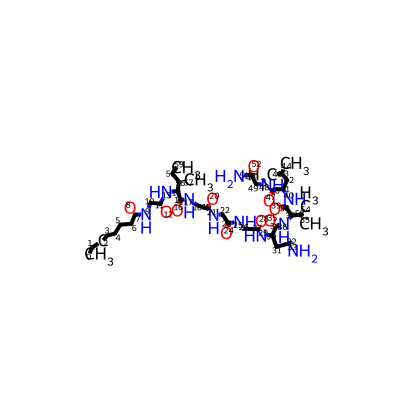 CCCCCCCC(=O)NCC(=O)NC(C(=O)NCC(=O)NCC(=O)NCC(=O)NC(CCN)C(=O)NC(C(=O)NC(CC(C)C)C(=O)NCC(N)=O)C(C)C)[C@@H](C)CC